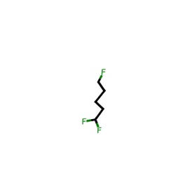 FCCCC[C](F)F